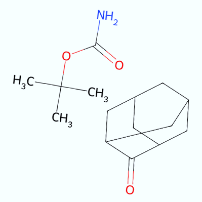 CC(C)(C)OC(N)=O.O=C1C2CC3CC(C2)CC1C3